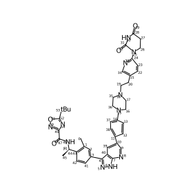 Cc1cc(-c2n[nH]c3ncc(-c4ccc(N5CCN(CCc6ccc(N7CCC(=O)NC7=O)nc6)CC5)cc4)cc23)ccc1[C@@H](C)NC(=O)c1noc(C(C)(C)C)n1